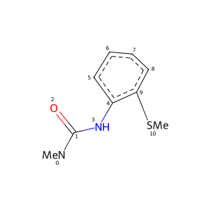 CNC(=O)Nc1ccccc1SC